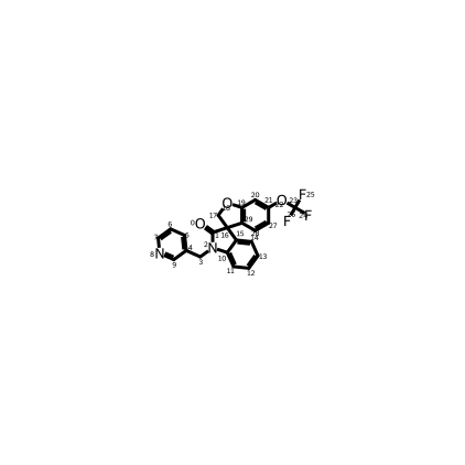 O=C1N(Cc2cccnc2)c2ccccc2C12COc1cc(OC(F)(F)F)ccc12